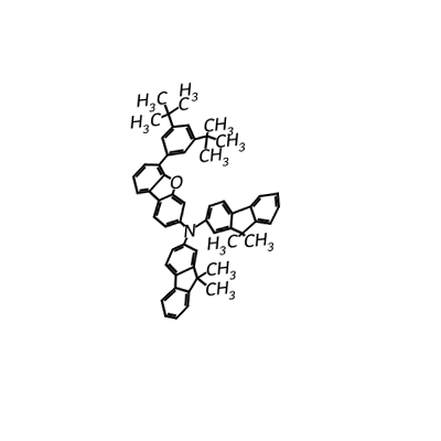 CC(C)(C)c1cc(-c2cccc3c2oc2cc(N(c4ccc5c(c4)C(C)(C)c4ccccc4-5)c4ccc5c(c4)C(C)(C)c4ccccc4-5)ccc23)cc(C(C)(C)C)c1